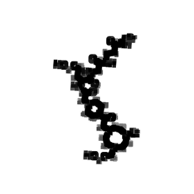 CCCNC(=O)CCNC(=O)CNC(=O)C(CCC(=O)O)NC(=O)CN1CCN(C(=O)CN2CCN(CC)CCN(CC(=O)O)CC2)CC1